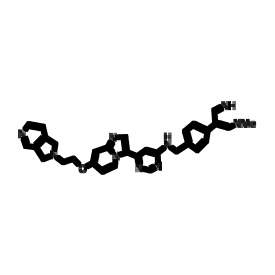 CN/C=C(\C=N)c1ccc(CNc2cc(-c3cnc4cc(OCCN5Cc6ccncc6C5)ccn34)ncn2)cc1